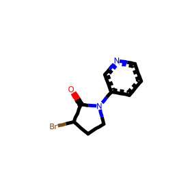 O=C1C(Br)CCN1c1cccnc1